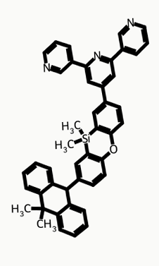 CC1(C)c2ccccc2C(c2ccc3c(c2)[Si](C)(C)c2cc(-c4cc(-c5cccnc5)nc(-c5cccnc5)c4)ccc2O3)c2ccccc21